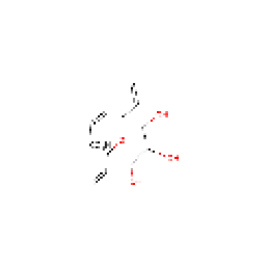 C=CC(=O)O.C=CCOCC=C.OCC(O)CO